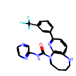 O=C(Nc1cnccn1)N1CCCCNc2ccc(-c3cccc(C(F)(F)F)c3)nc21